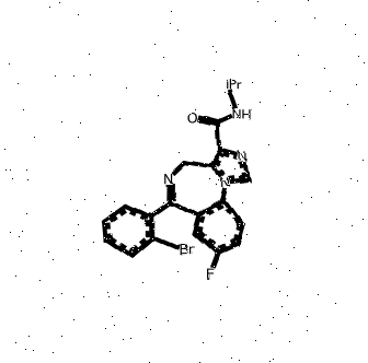 CC(C)NC(=O)c1ncn2c1CN=C(c1ccccc1Br)c1cc(F)ccc1-2